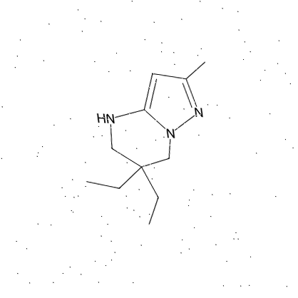 CCC1(CC)CNc2cc(C)nn2C1